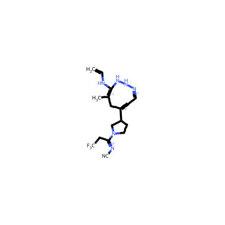 C=CN/C1=C(\C)C/C(C2CCN(/C(CC(F)(F)F)=N/C#N)C2)=C\C=N/NN1